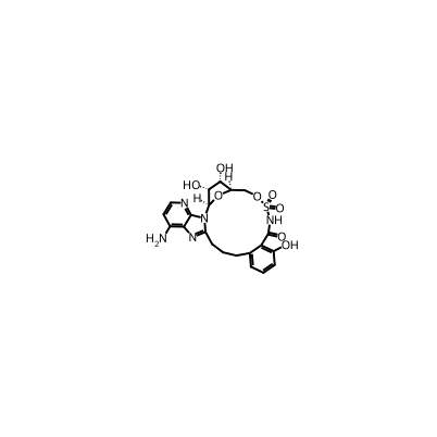 Nc1ccnc2c1nc1n2[C@@H]2O[C@H](COS(=O)(=O)NC(=O)c3c(O)cccc3CCC1)[C@@H](O)[C@H]2O